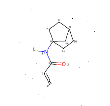 C=CC(=O)N(C)C12CCC(CC1)C2